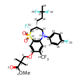 COC(=O)C(C)(C)COc1cc2c(cc1C(F)(F)F)N(c1ccc(F)cc1)C[C@@H](CCC(C)(F)F)[C@@H](F)S2(=O)=O